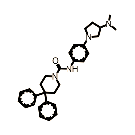 CN(C)C1CCN(c2ccc(NC(=O)N3CCC(c4ccccc4)(c4ccccc4)CC3)cc2)C1